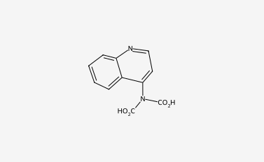 O=C(O)N(C(=O)O)c1ccnc2ccccc12